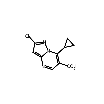 O=C(O)c1cnc2cc(Cl)nn2c1C1CC1